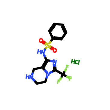 Cl.O=S(=O)(Nc1nc(C(F)(F)F)n2c1CNCC2)c1ccccc1